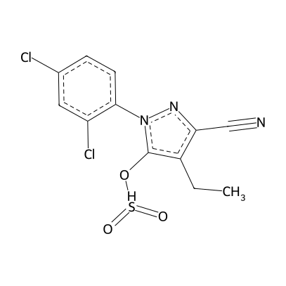 CCc1c(C#N)nn(-c2ccc(Cl)cc2Cl)c1O[SH](=O)=O